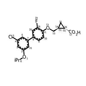 CC(C)Oc1cc(Cl)cc(-c2ccc(OC[C@H]3C[C@@H]3C(=O)O)c(F)c2)c1